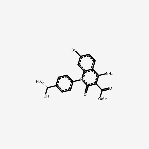 COC(=O)c1c(N)c2ccc(Br)cc2n(-c2ccc([C@@H](C)O)cc2)c1=O